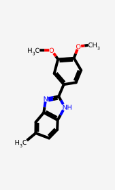 COc1ccc(-c2nc3cc(C)ccc3[nH]2)cc1OC